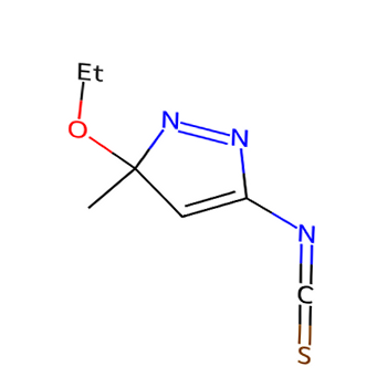 CCOC1(C)C=C(N=C=S)N=N1